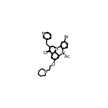 CC(=O)N1c2ccc(Br)cc2-n2cc(Cc3cccnc3)c(=O)c3cc(OCCN4CCCCC4)cc1c32